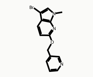 Cn1cc(Br)c2ccc(OCc3cccnc3)nc21